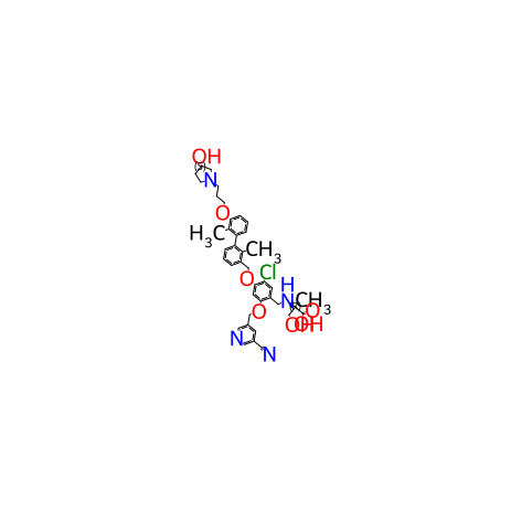 Cc1c(COc2cc(OCc3cncc(C#N)c3)c(CN[C@](C)(CO)C(=O)O)cc2Cl)cccc1-c1cccc(OCCCN2CC[C@H](O)C2)c1C